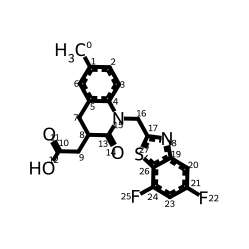 Cc1ccc2c(c1)CC(CC(=O)O)C(=O)N2Cc1nc2cc(F)cc(F)c2s1